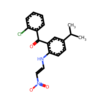 CC(C)c1ccc(N/C=C/[N+](=O)[O-])c(C(=O)c2ccccc2Cl)c1